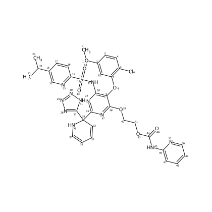 COc1ccc(Cl)c(Oc2c(NS(=O)(=O)c3ccc(C(C)C)cn3)nc(C3(c4nnn[nH]4)C=CC=CN3)nc2OCCOC(=O)Nc2ccccn2)c1